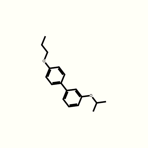 CCCOc1ccc(-c2cccc(OC(C)C)c2)cc1